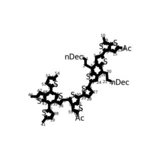 CCCCCCCCCCCCc1c2cc(-c3sc(C)c4sc(C(C)=O)cc34)sc2c(CCCCCCCCCCCC)c2cc(-c3ccc(-c4sc(-c5cc6c(-c7ccc(C)s7)c7sc(C)cc7c(-c7ccc(C)s7)c6s5)c5cc(C(C)=O)sc45)s3)sc12